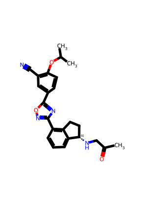 CC(=O)CN[C@H]1CCc2c(-c3noc(-c4ccc(OC(C)C)c(C#N)c4)n3)cccc21